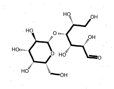 O=C[C@@H](O)[C@H](O)[C@H](O[C@@H]1O[C@H](CO)[C@H](O)[C@H](O)[C@H]1O)[C@H](O)CO